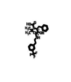 CC(C)(C)N(C(=O)O)[C@@H](Cc1ccccc1)[C@@H](O)CNCCc1cccc(C(F)(F)F)c1